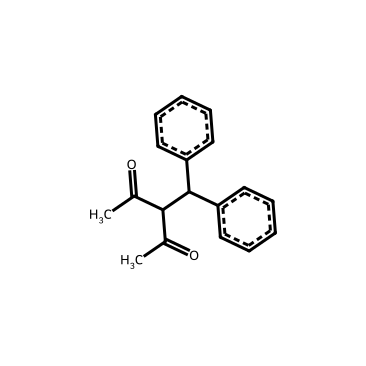 CC(=O)C(C(C)=O)C(c1ccccc1)c1ccccc1